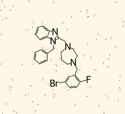 Fc1ccc(Br)cc1CN1CCCN(Cc2nc3ccccc3n2Cc2ccccc2)CC1